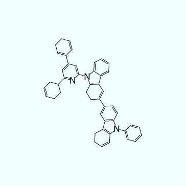 C1=CC(c2cc(C3CC=CCC3)nc(-n3c4c(c5ccccc53)C=C(c3ccc5c(c3)c3c(n5-c5ccccc5)C=CCC3)CC4)c2)=CCC1